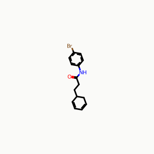 O=C(CCC1C=CC=CC1)Nc1ccc(Br)cc1